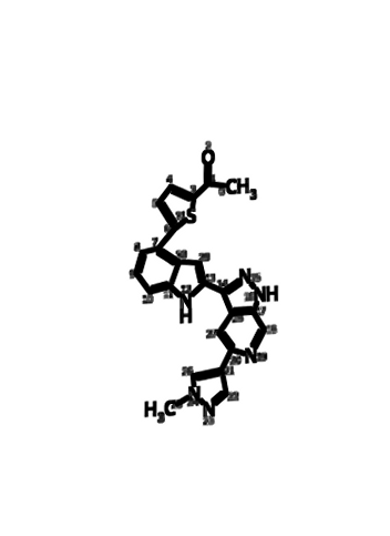 CC(=O)c1ccc(-c2cccc3[nH]c(-c4n[nH]c5cnc(-c6cnn(C)c6)cc45)cc23)s1